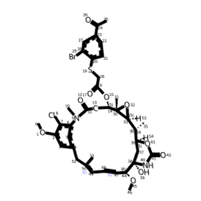 COc1cc2cc(c1Cl)N(C)C(=O)C[C@H](OC(=O)CSc1ccc(C(C)=O)cc1Br)[C@]1(C)O[C@H]1[C@H](C)[C@@H]1C[C@@](O)(NC(=O)O1)[C@H](OC)/C=C/C=C(\C)C2